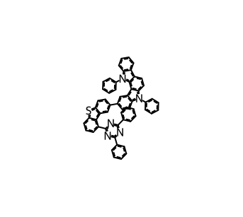 c1ccc(-c2nc(-c3ccccc3)nc(-c3cccc4sc5ccc(-c6ccc7c(c6)c6c(ccc8c9ccccc9n(-c9ccccc9)c86)n7-c6ccccc6)cc5c34)n2)cc1